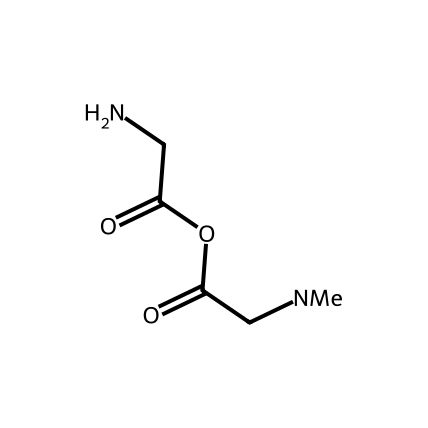 CNCC(=O)OC(=O)CN